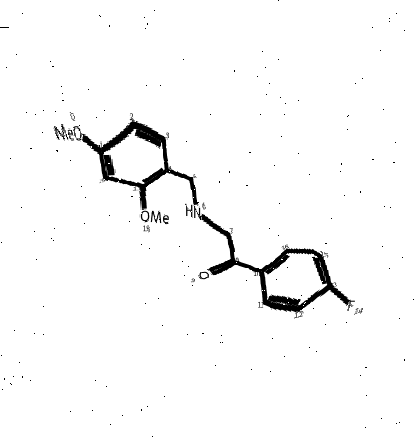 COc1ccc(CNCC(=O)c2ccc(F)cc2)c(OC)c1